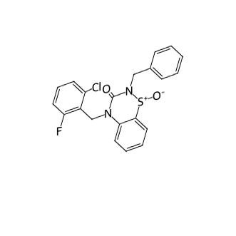 O=C1N(Cc2c(F)cccc2Cl)c2ccccc2[S+]([O-])N1Cc1ccccc1